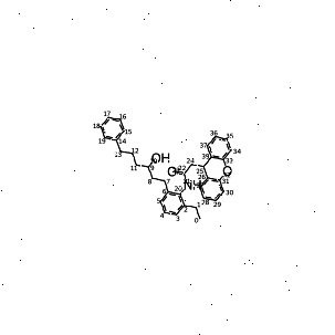 CCc1cccc(CCC(O)CCCc2ccccc2)c1NC(=O)CC1c2ccccc2Oc2ccccc21